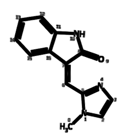 Cn1ccnc1C=C1C(=O)Nc2ccccc21